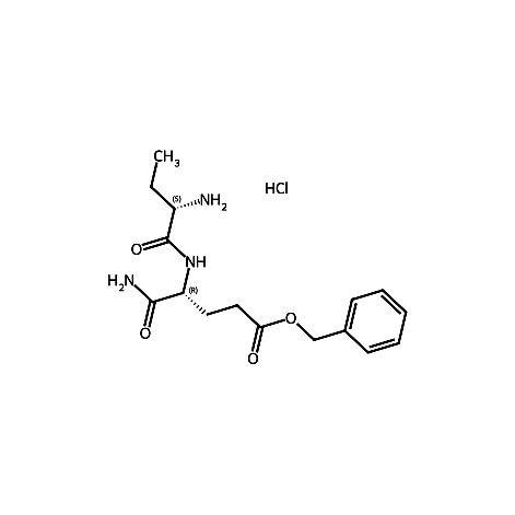 CC[C@H](N)C(=O)N[C@H](CCC(=O)OCc1ccccc1)C(N)=O.Cl